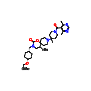 CCCCC1CN(C[C@H]2CC[C@@H](OCOC)CC2)C(=O)OC12CCN(C1(C)CCN(C(=O)c3c(C)ncnc3C)CC1)CC2